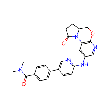 CN(C)C(=O)c1ccc(-c2ccc(Nc3cnc4c(c3)N3C(=O)CCC3CO4)nc2)cc1